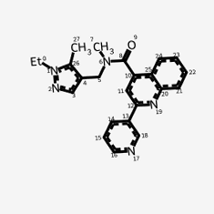 CCn1ncc(CN(C)C(=O)c2cc(-c3cccnc3)nc3ccccc23)c1C